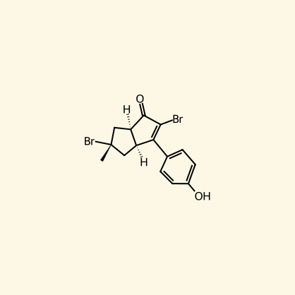 C[C@]1(Br)C[C@@H]2C(c3ccc(O)cc3)=C(Br)C(=O)[C@@H]2C1